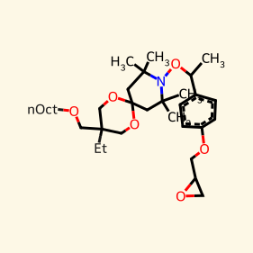 CCCCCCCCOCC1(CC)COC2(CC(C)(C)N(OC(C)c3ccc(OCC4CO4)cc3)C(C)(C)C2)OC1